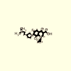 COc1c(N2CC[C@@H](CCN(C)C)C2)c(F)cc2c(=O)c(C(=O)O)cn(C3CC3)c12